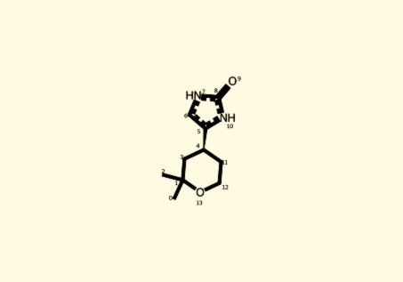 CC1(C)C[C@@H](c2c[nH]c(=O)[nH]2)CCO1